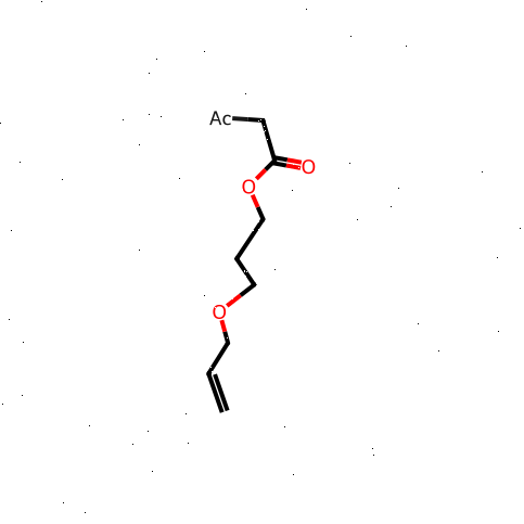 C=CCOCCCOC(=O)CC(C)=O